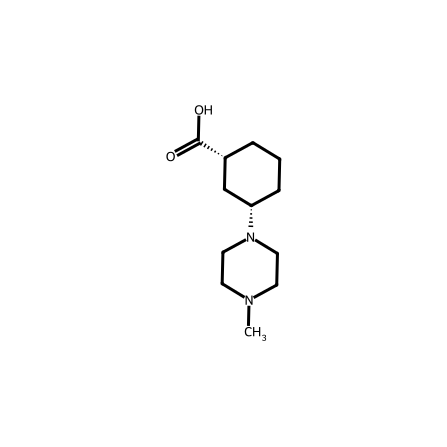 CN1CCN([C@H]2CCC[C@@H](C(=O)O)C2)CC1